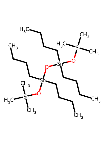 CCC[CH2][Sn]([CH2]CCC)([O][Si](C)(C)C)[O][Sn]([CH2]CCC)([CH2]CCC)[O][Si](C)(C)C